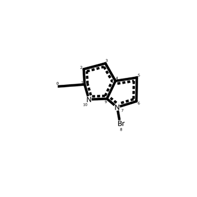 Cc1ccc2ccn(Br)c2n1